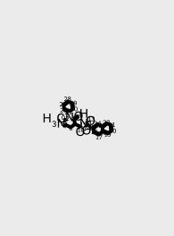 CCN(C(=O)C(CC#N)C(=O)NS(=O)(=O)c1ccc2ccccc2c1)c1ccccc1